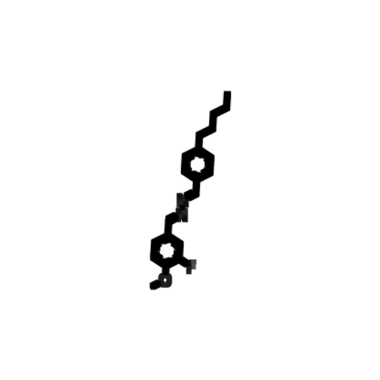 CCCCCc1ccc(C=NN=Cc2ccc(OC)c(F)c2)cc1